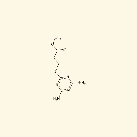 COC(=O)CCSc1nc(N)cc(N)n1